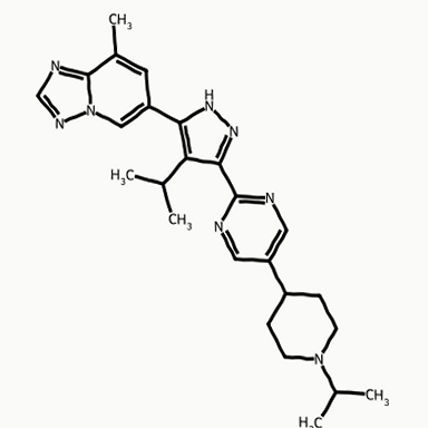 Cc1cc(-c2[nH]nc(-c3ncc(C4CCN(C(C)C)CC4)cn3)c2C(C)C)cn2ncnc12